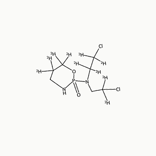 [2H]C([2H])(Cl)CN(C([2H])([2H])C([2H])([2H])Cl)P1(=O)NCC([2H])([2H])C([2H])([2H])O1